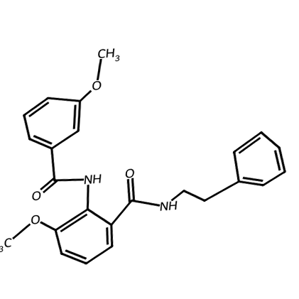 COc1cccc(C(=O)Nc2c(OC)cccc2C(=O)NCCc2ccccc2)c1